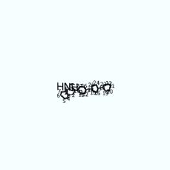 C=C(Cc1ccccc1N)c1ccc(-c2ccc(-c3ccccc3)cc2)cc1